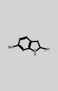 CC(C)C1Cc2ccc(C(C)(C)C)cc2N1